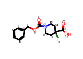 O=C(OCc1ccccc1)N1CCC(F)(C(=O)O)CC1